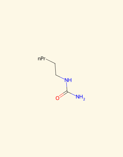 [CH2]CCCCNC(N)=O